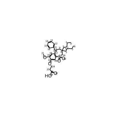 CCCCC1(CCCC)CN(c2ccccc2)c2cc(OC)c(OCCC(=O)O)cc2S(=O)(=O)C1